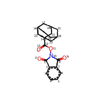 O=C1c2ccccc2C(=O)N1OC(=O)C12CC3CC(CC(C3)C1)C2